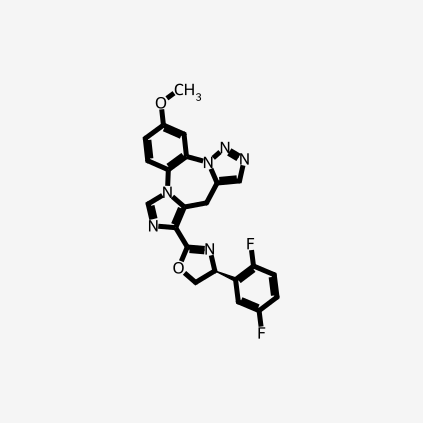 COc1ccc2c(c1)-n1nncc1Cc1c(C3=N[C@@H](c4cc(F)ccc4F)CO3)ncn1-2